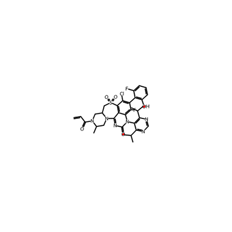 C=CC(=O)N1CC2CS(=O)(=O)c3c(Cl)c(-c4c(O)cccc4F)c(F)c4c3c(nc(=O)n4-c3c(C(C)C)ncnc3C(C)C)N2CC1C